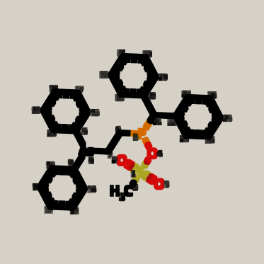 CS(=O)(=O)OP(CC[As](c1ccccc1)c1ccccc1)C(c1ccccc1)c1ccccc1